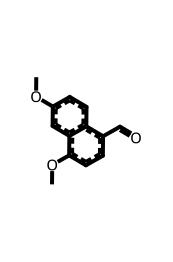 COc1ccc2c(C=O)ccc(OC)c2c1